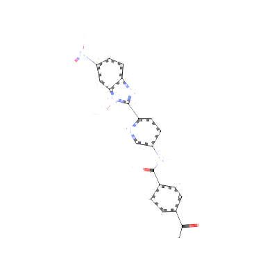 CC(=O)c1ccc(C(=O)Nc2ccc(-c3nc4ccc([N+](=O)[O-])cc4n3O)nc2)cc1